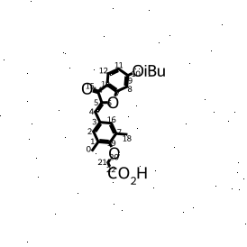 Cc1cc(/C=C2\Oc3cc(OCC(C)C)ccc3C2=O)cc(C)c1OCC(=O)O